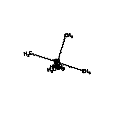 CCCCCCCCCCCCCCCCCCO[Si](OCCCCCCCCCCCCCCCCCC)(OCCCCCCCCCCCCCCCCCC)OC(CC)NC(C)N